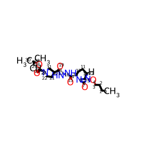 CCCCON1C(=O)N2C[C@@H]1CC[C@H]2C(=O)NNC(=O)C1CCN(C(=O)OC(C)(C)C)C1